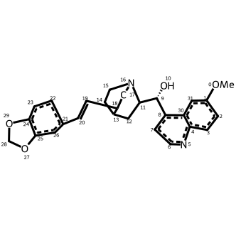 COc1ccc2nccc([C@@H](O)C3CC4CCN3CC4/C=C/c3ccc4c(c3)OCO4)c2c1